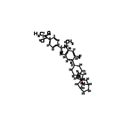 Cn1c(-c2ccc(S(C)(=O)=O)cc2)nc2cc(C3CCN(C4CC5CCC(C4)N5C4CCC4)CC3)c(F)cc21